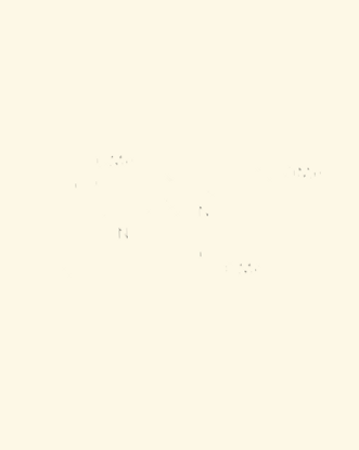 COC(=O)CC(C)N(Cc1ccccc1C)c1ccc(N(CC(=O)OC)Sc2ccc(OC)cc2)c2ccccc12